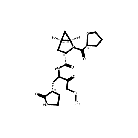 O=C(COC(F)(F)F)C(C[C@@H]1CCNC1=O)NC(=O)[C@@H]1C[C@H]2C[C@H]2N1C(=O)[C@@H]1CCCO1